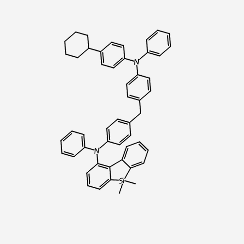 C[Si]1(C)c2ccccc2-c2c(N(c3ccccc3)c3ccc(Cc4ccc(N(c5ccccc5)c5ccc(C6CCCCC6)cc5)cc4)cc3)cccc21